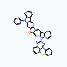 C1=Cc2c(c3cc4c(cc3n2-c2nc3c5c(cccc5n2)Sc2ccccc2-3)oc2cc3c(cc24)c2ccccc2n3-c2ccccc2)CC1